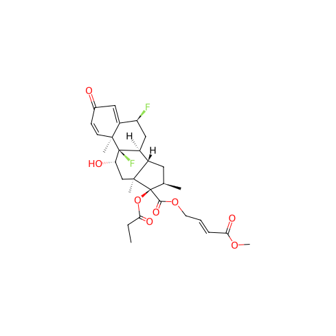 CCC(=O)O[C@]1(C(=O)OC/C=C/C(=O)OC)[C@H](C)C[C@H]2[C@@H]3C[C@H](F)C4=CC(=O)C=C[C@]4(C)[C@@]3(F)[C@@H](O)C[C@@]21C